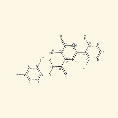 CN(Cc1ccc(F)cc1F)C(=O)c1nc(-c2c(F)cccc2F)[nH]c(=O)c1O